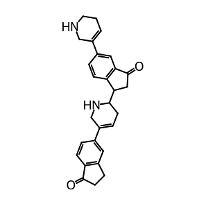 O=C1CCc2cc(C3=CCC(C4CC(=O)c5cc(C6=CCCNC6)ccc54)NC3)ccc21